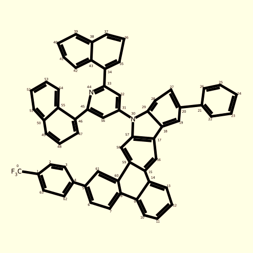 FC(F)(F)c1ccc(-c2ccc3c4ccccc4c4cc5c6cc(-c7ccccc7)ccc6n(-c6cc(-c7cccc8ccccc78)nc(-c7cccc8ccccc78)c6)c5cc4c3c2)cc1